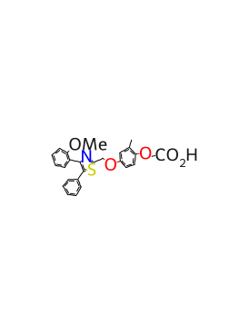 COc1ccccc1-c1nc(COc2ccc(OCC(=O)O)c(C)c2)sc1-c1ccccc1